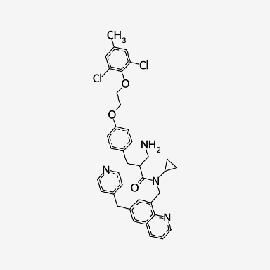 Cc1cc(Cl)c(OCCOc2ccc(CC(CN)C(=O)N(Cc3cc(Cc4ccncc4)cc4cccnc34)C3CC3)cc2)c(Cl)c1